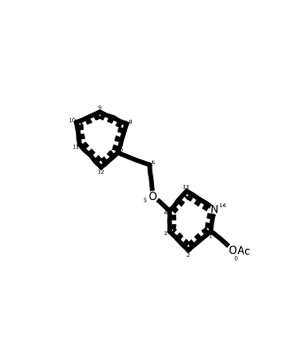 CC(=O)Oc1ccc(OCc2ccccc2)cn1